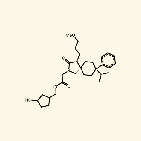 COCCCN1C(=O)N(CC(=O)NCC2CCC(O)C2)C[C@]12CC[C@](c1ccccc1)(N(C)C)CC2